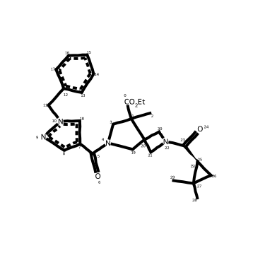 CCOC(=O)C1(C)CN(C(=O)c2cnn(Cc3ccccc3)c2)CC12CN(C(=O)[C@H]1CC1(C)C)C2